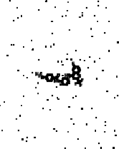 COc1ccc(C(=O)N[C@@H]2CCC[C@@H](Nc3cc(C(F)(F)F)nc4ccc(F)cc34)C2)cc1